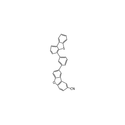 N#Cc1ccc2oc3ccc(-c4cccc(-c5cccc6c5sc5ccccc56)c4)cc3c2c1